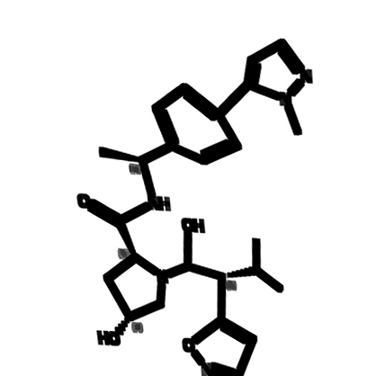 CC(C)[C@H](c1ccno1)C(O)N1C[C@H](O)C[C@H]1C(=O)N[C@@H](C)c1ccc(-c2ccnn2C)cc1